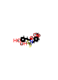 O=C1C(=Cc2ccc(O)c(O)c2)SC(=S)N1Cc1ccc2c(c1)OCO2